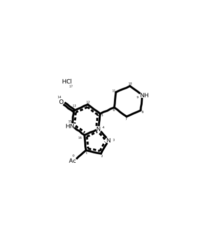 CC(=O)c1cnn2c(C3CCNCC3)cc(=O)[nH]c12.Cl